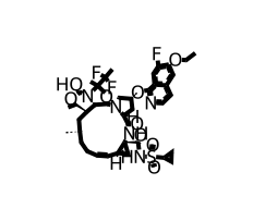 CCOc1cc2ccnc(O[C@@H]3C[C@H]4C(=O)N[C@]5(C(=O)NS(=O)(=O)C6CC6)C[C@H]5C=CCC[C@H](C)C[C@@H](CC)[C@H](N(C(=O)O)C(C)(C)C(C)(F)F)C(=O)N4C3)c2cc1F